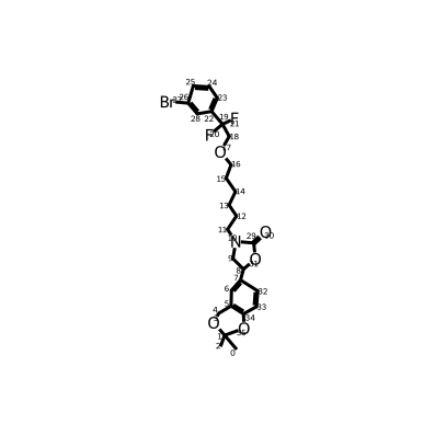 CC1(C)OCc2cc(C3CN(CCCCCCOCC(F)(F)c4cccc(Br)c4)C(=O)O3)ccc2O1